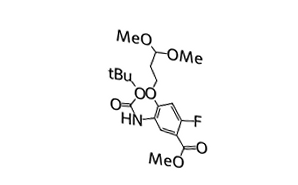 COC(=O)c1cc(NC(=O)OC(C)(C)C)c(OCCC(OC)OC)cc1F